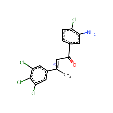 Nc1cc(C(=O)/C=C(/c2cc(Cl)c(Cl)c(Cl)c2)C(F)(F)F)ccc1Cl